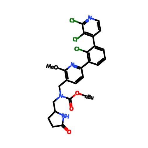 CCCCOC(=O)N(Cc1ccc(-c2cccc(-c3ccnc(Cl)c3Cl)c2Cl)nc1OC)CC1CCC(=O)N1